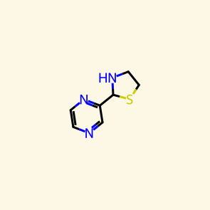 c1cnc(C2NCCS2)cn1